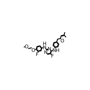 COCCOc1ccc(Nc2ncc(F)c(Nc3ccc(CC(=O)C=C(C)C)cc3)n2)cc1F